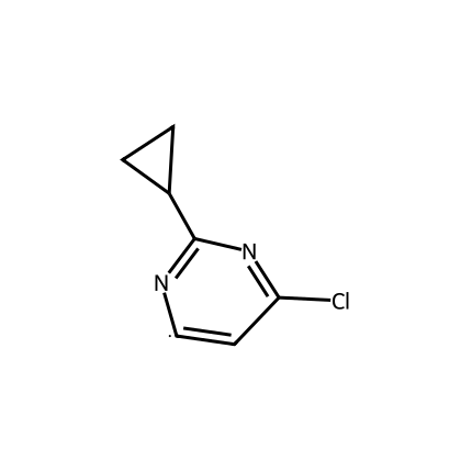 Clc1c[c]nc(C2CC2)n1